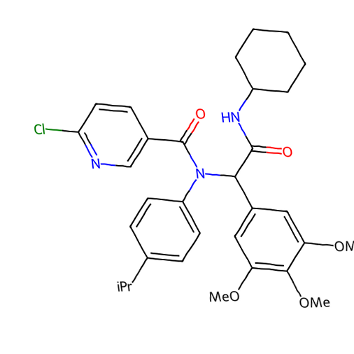 COc1cc(C(C(=O)NC2CCCCC2)N(C(=O)c2ccc(Cl)nc2)c2ccc(C(C)C)cc2)cc(OC)c1OC